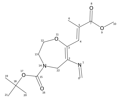 C=NC1=C(/C=C(\C)C(=O)OC)OCCN(C(=O)OC(C)(C)C)C1